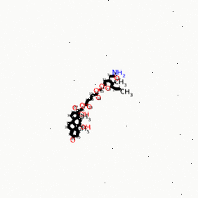 C/C=C/C[C@@H](C)[C@H](CC(N)=O)CC(=O)OCOC(=O)CCCC(=O)OCC(=O)[C@@]1(O)CCC2C3CCC4=CC(=O)C=C[C@]4(C)C3[C@@H](O)C[C@@]21C